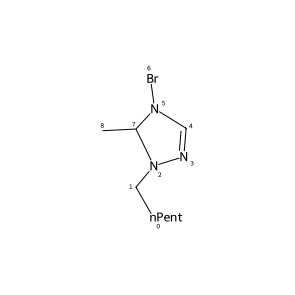 CCCCCCN1N=CN(Br)C1C